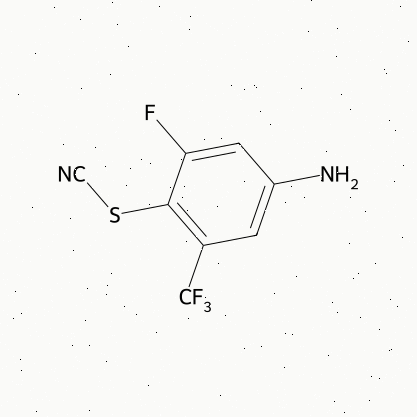 N#CSc1c(F)cc(N)cc1C(F)(F)F